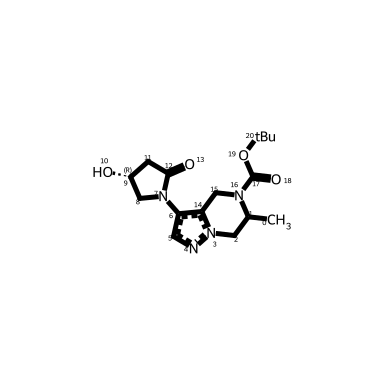 CC1Cn2ncc(N3C[C@H](O)CC3=O)c2CN1C(=O)OC(C)(C)C